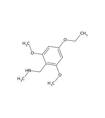 CCOc1cc(OC)c(CNC)c(OC)c1